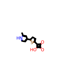 CC1=CC(C2CC=C(c3c(O)c(=O)c3=O)S2)=CCN1